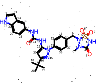 CN1C(=O)NS(=O)(=O)N1Cc1ccc(-n2nc(C(C)(C)C)cc2NC(=O)Nc2ccc3[nH]ccc3c2)cc1